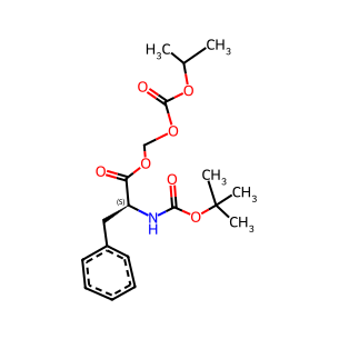 CC(C)OC(=O)OCOC(=O)[C@H](Cc1ccccc1)NC(=O)OC(C)(C)C